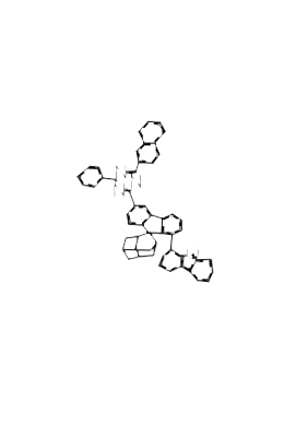 c1ccc(-c2nc(-c3ccc4c(c3)-c3cccc(-c5cccc6c5oc5ccccc56)c3C43C4CC5CC(C4)CC3C5)nc(-c3ccc4ccccc4c3)n2)cc1